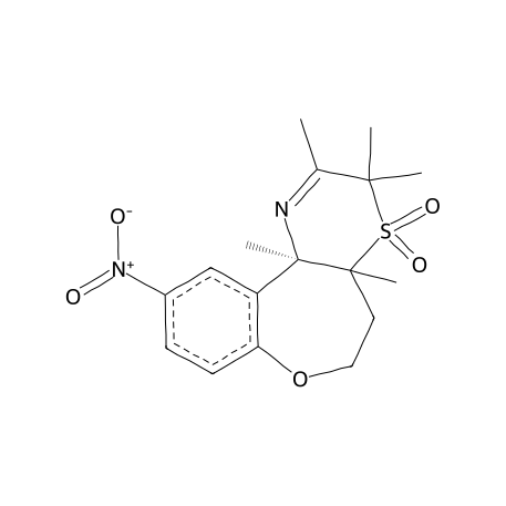 CC1=N[C@]2(C)c3cc([N+](=O)[O-])ccc3OCCC2(C)S(=O)(=O)C1(C)C